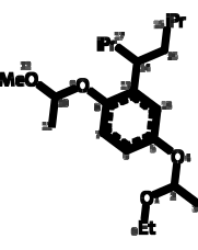 CCOC(C)Oc1ccc(OC(C)OC)c(C(CC(C)C)C(C)C)c1